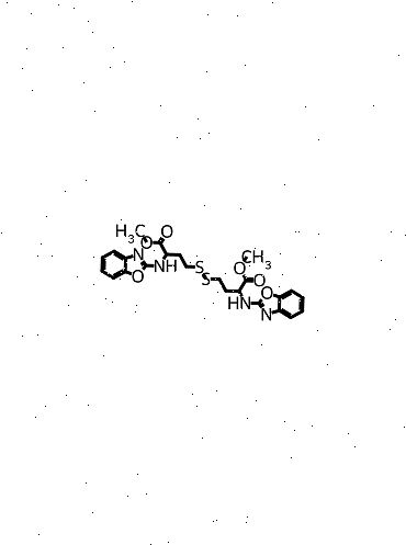 COC(=O)C(CCSSCCC(Nc1nc2ccccc2o1)C(=O)OC)Nc1nc2ccccc2o1